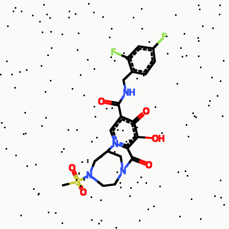 CS(=O)(=O)N1CCN2CC(C1)n1cc(C(=O)NCc3ccc(F)cc3F)c(=O)c(O)c1C2=O